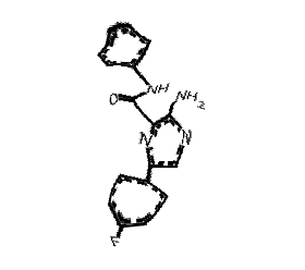 Nc1ncc(-c2ccc(F)cc2)nc1C(=O)Nc1ccccc1